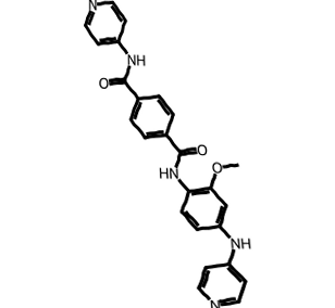 COc1cc(Nc2ccncc2)ccc1NC(=O)c1ccc(C(=O)Nc2ccncc2)cc1